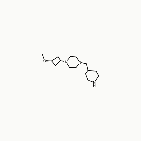 CO[C@H]1C[C@H](N2CCN(CC3CCNCC3)CC2)C1